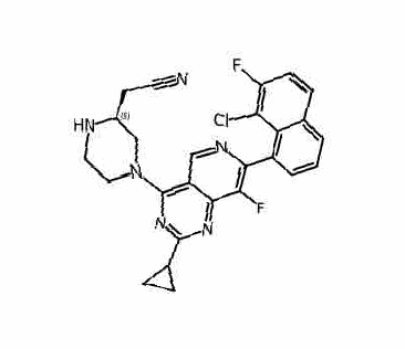 N#CC[C@H]1CN(c2nc(C3CC3)nc3c(F)c(-c4cccc5ccc(F)c(Cl)c45)ncc23)CCN1